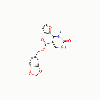 CN1C(=O)NC=C(C(=O)OCc2ccc3c(c2)OCO3)C1c1ccco1